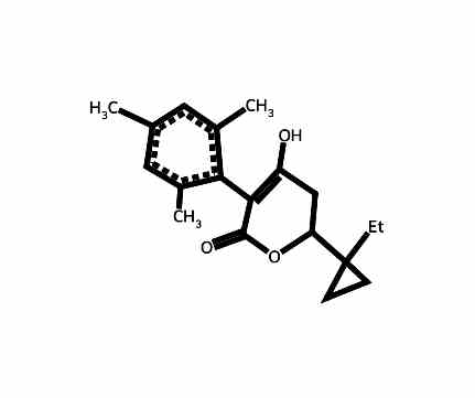 CCC1(C2CC(O)=C(c3c(C)cc(C)cc3C)C(=O)O2)CC1